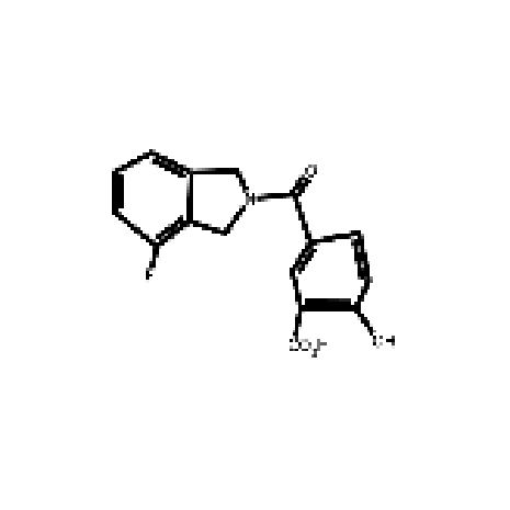 O=C(O)c1cc(C(=O)N2Cc3cccc(F)c3C2)ccc1O